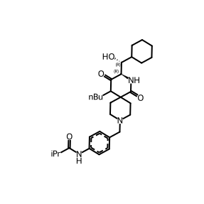 CCCCC1C(=O)[C@@H]([C@H](O)C2CCCCC2)NC(=O)C12CCN(Cc1ccc(NC(=O)C(C)C)cc1)CC2